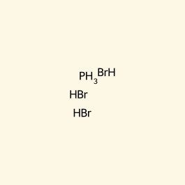 Br.Br.Br.P